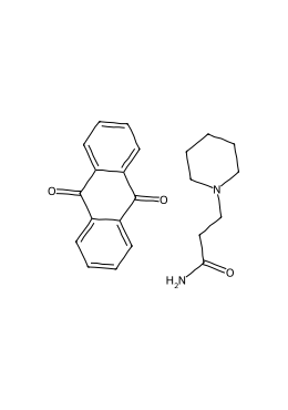 NC(=O)CCN1CCCCC1.O=C1c2ccccc2C(=O)c2ccccc21